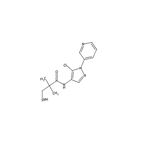 CSCC(C)(C)C(=O)Nc1cnn(-c2cccnc2)c1Cl